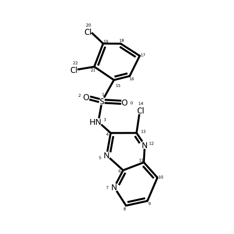 O=S(=O)(Nc1nc2ncccc2nc1Cl)c1cccc(Cl)c1Cl